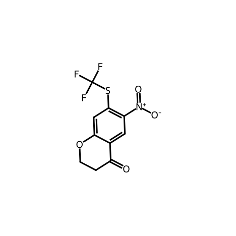 O=C1CCOc2cc(SC(F)(F)F)c([N+](=O)[O-])cc21